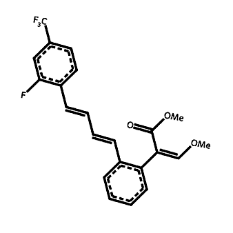 COC=C(C(=O)OC)c1ccccc1C=CC=Cc1ccc(C(F)(F)F)cc1F